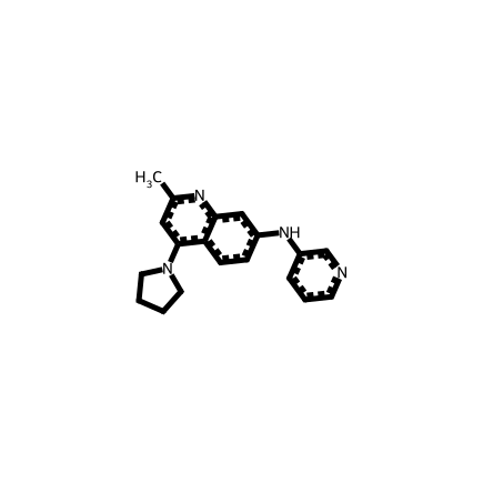 Cc1cc(N2CCCC2)c2ccc(Nc3cccnc3)cc2n1